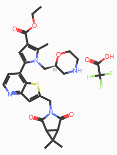 CCOC(=O)c1cc(-c2ccnc3cc(CN4C(=O)C5C(C4=O)C5(C)C)sc23)n(C[C@@H]2CNCCO2)c1C.O=C(O)C(F)(F)F